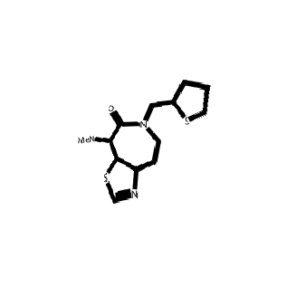 CNC1C(=O)N(CC2CCCS2)CCC2N=CSC21